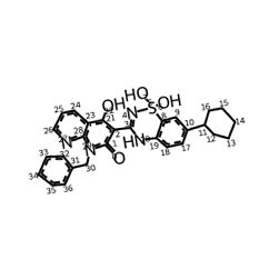 O=c1c(C2=NS(O)(O)c3cc(C4CCCCC4)ccc3N2)c(O)c2cccnc2n1Cc1ccccc1